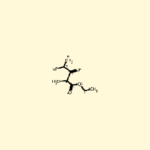 CCOC(=O)C(C)C(=O)C(C)F